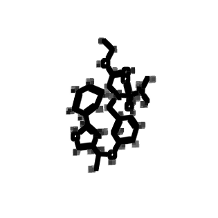 CCOC(=O)CN(Cc1cccc(OC(C)c2coc(-c3ccccc3)n2)c1)S(=O)(=O)N(C)C